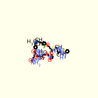 Cc1cc(N(C)c2nc(C(=O)O)c(CCCOc3ccc(C#CC(C)[N+](C)(C)Cc4ccc(NC(=O)[C@H](CCCNC(N)=O)NC(=O)[C@@H](NC(=O)CCOCCN5C(=O)C=CC5=O)C(C)C)cc4)cc3F)s2)nnc1Nc1nc2ccccc2s1